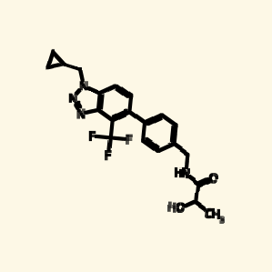 CC(O)C(=O)NCc1ccc(-c2ccc3c(nnn3CC3CC3)c2C(F)(F)F)cc1